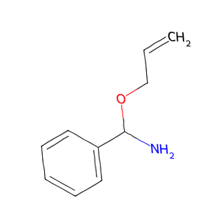 C=CCOC(N)c1ccccc1